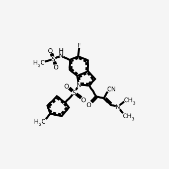 Cc1ccc(S(=O)(=O)n2c(C(=O)C(C#N)=CN(C)C)cc3cc(F)c(NS(C)(=O)=O)cc32)cc1